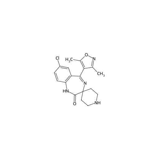 Cc1noc(C)c1C1=NC2(CCNCC2)C(=O)Nc2ccc(Cl)cc21